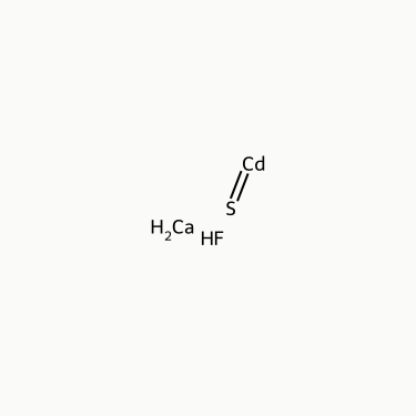 F.[CaH2].[S]=[Cd]